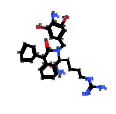 N=C(N)NCCCC[C@H](C(N)=O)N(Cc1cc(Br)c(N)c(Br)c1)C(=O)C(c1ccccc1)c1ccccc1